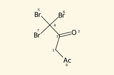 CC(=O)CC(=O)C(Br)(Br)Br